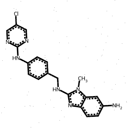 Cn1c(NCc2ccc(Nc3ncc(Cl)cn3)cc2)nc2ccc(N)cc21